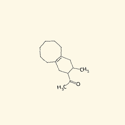 CC(=O)C1CC2=C(CCCCCC2)CC1C